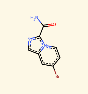 NC(=O)c1ncc2cc(Br)ccn12